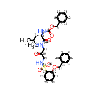 CC(C)C[C@H](NC(=O)OCc1ccccc1)C(=O)NCC(=O)CNS(=O)(=O)c1ccccc1OCc1ccccc1